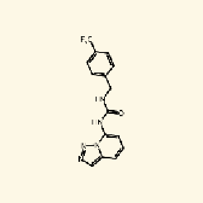 O=C(NCc1ccc(C(F)(F)F)cc1)Nc1cccc2cnnn12